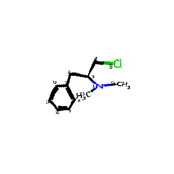 CN(C)[C@H](CCl)Cc1ccccc1